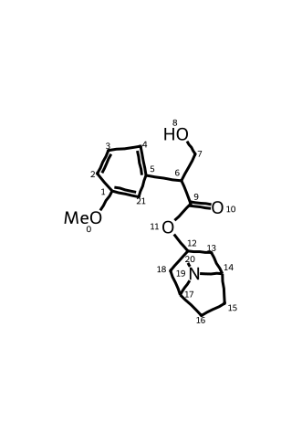 COc1cccc(C(CO)C(=O)OC2CC3CCC(C2)N3C)c1